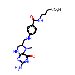 CN1c2c(nc(N)[nH]c2=O)NCC1CNc1ccc(C(=O)NCCCC(=O)O)cc1